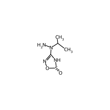 CC(C)N(N)C1=NOS(=O)N1